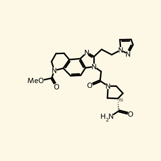 COC(=O)N1CCCc2c1ccc1c2nc(CCn2cccn2)n1CC(=O)N1CC[C@H](C(N)=O)C1